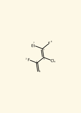 C=C(F)/C(Cl)=C(/F)CC